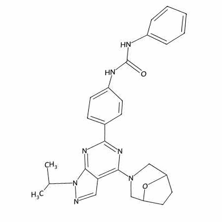 CC(C)n1ncc2c(N3CC4CCC(C3)O4)nc(-c3ccc(NC(=O)Nc4ccccc4)cc3)nc21